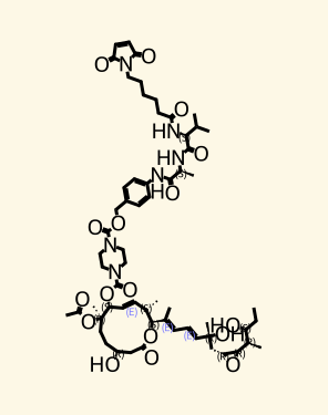 CC[C@H](O)[C@@H](C)[C@H]1O[C@@H]1C[C@@](C)(O)/C=C/C=C(\C)[C@H]1OC(=O)C[C@H](O)CC[C@@](C)(OC(C)=O)[C@@H](OC(=O)N2CCN(C(=O)OCc3ccc(NC(=O)[C@H](C)NC(=O)[C@@H](NC(=O)CCCCCN4C(=O)C=CC4=O)C(C)C)cc3)CC2)/C=C/[C@@H]1C